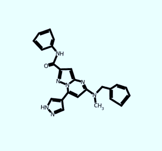 CN(Cc1ccccc1)c1cc(-c2cn[nH]c2)n2nc(C(=O)Nc3ccccc3)cc2n1